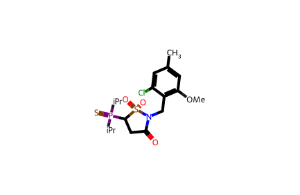 COc1cc(C)cc(Cl)c1CN1C(=O)CC(P(=S)(C(C)C)C(C)C)S1(=O)=O